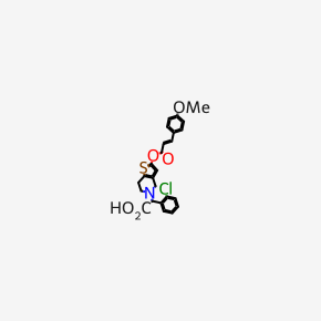 COc1ccc(/C=C/C(=O)Oc2cc3c(s2)CCN([C@H](C(=O)O)c2ccccc2Cl)C3)cc1